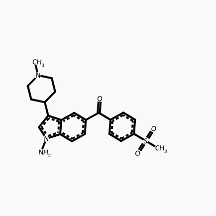 CN1CCC(c2cn(N)c3ccc(C(=O)c4ccc(S(C)(=O)=O)cc4)cc23)CC1